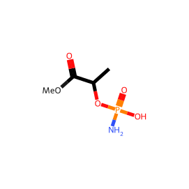 COC(=O)C(C)OP(N)(=O)O